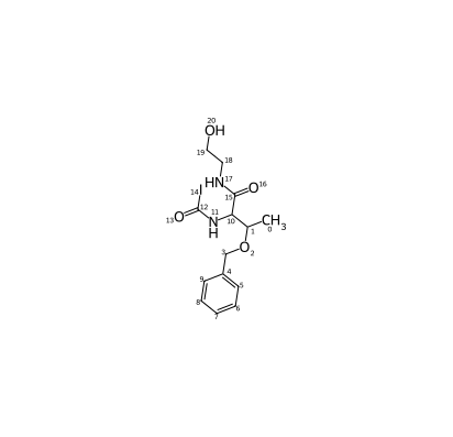 CC(OCc1ccccc1)C(NC(=O)I)C(=O)NCCO